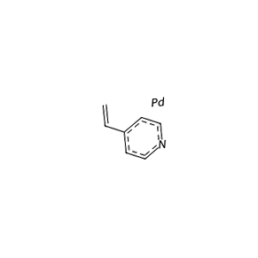 C=Cc1ccncc1.[Pd]